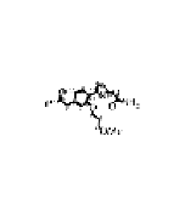 COCCCOc1cc(CC(=O)C(C)C)ccc1-c1csc(OC(N)=O)n1